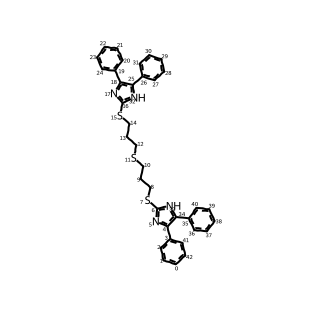 c1ccc(-c2nc(SCCCSCCCSc3nc(-c4ccccc4)c(-c4ccccc4)[nH]3)[nH]c2-c2ccccc2)cc1